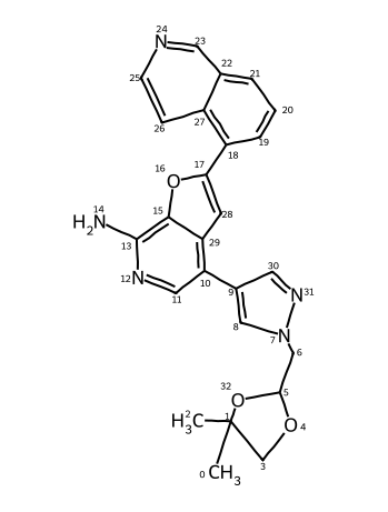 CC1(C)COC(Cn2cc(-c3cnc(N)c4oc(-c5cccc6cnccc56)cc34)cn2)O1